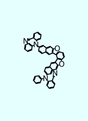 N#Cc1ccccc1N(c1ccccc1)c1ccc2cc3c(cc2c1)oc1ccc2oc4cc5cc(N(c6ccccc6)c6ccccc6C#N)ccc5cc4c2c13